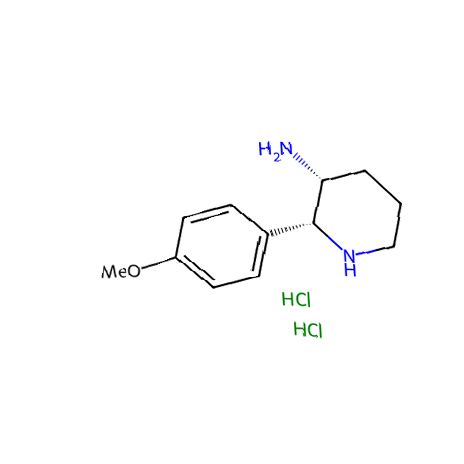 COc1ccc([C@H]2NCCC[C@H]2N)cc1.Cl.Cl